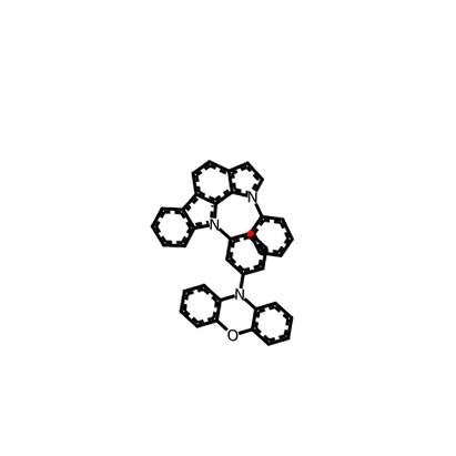 c1ccc(-n2ccc3ccc4c5ccccc5n(-c5cccc(N6c7ccccc7Oc7ccccc76)c5)c4c32)cc1